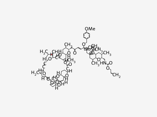 C=CCOC(=O)NC[C@H]1O[C@@H]([C@@H](C)CC(=O)C[C@H](C)[C@@H](/C=C/C(=O)C[C@H]2O[C@H]3[C@H](C)[C@H]4OC(=O)C[C@H]5CC[C@@H]6O[C@@H]7[C@H]8O[C@@H]9C[C@](CC[C@H]%10CC(=C)[C@H](CC[C@H]%11C[C@@H](C)C(=C)[C@@H](C[C@@H]4O[C@H]3C[C@H]2C)O%11)O%10)(O[C@H]8[C@H]6O5)O[C@]79C)OCc2ccc(OC)cc2)[C@@H](O[Si](C)(C)C(C)(C)C)C[C@H]1C